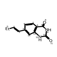 CCC=Cc1ccc2c(=O)[nH]c(=O)[nH]c2c1